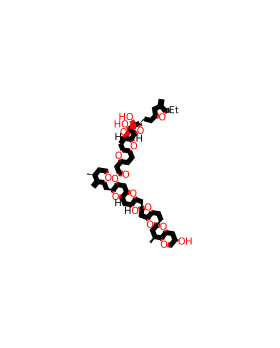 C=C1CC(CC[C@]23OC4C5OC(CC(=O)OC6CC7OC8C[C@@]9(CC%10O[C@@]%11(CCC%10O9)C[C@H](C)C9OC[C@H](O)CC9O%11)O[C@@H]8C[C@@H]7O[C@H]6CC6OCC[C@@H](C)C6=C)CCC5OC5[C@H]4O[C@](O)(C2O)[C@H]5O3)OC1CC